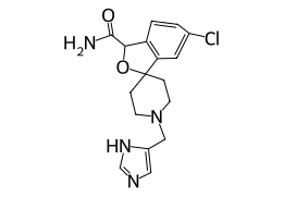 NC(=O)C1OC2(CCN(Cc3cnc[nH]3)CC2)c2cc(Cl)ccc21